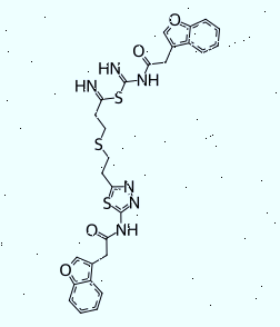 N=C(CCSCCc1nnc(NC(=O)Cc2coc3ccccc23)s1)SC(=N)NC(=O)Cc1coc2ccccc12